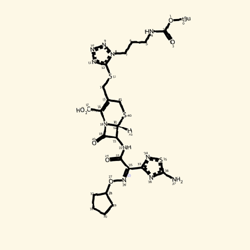 CC(C)(C)OC(=O)NCCCn1nnnc1SCC1=C(C(=O)O)N2C(=O)C(NC(=O)/C(=N\OC3CCCC3)c3nsc(N)n3)[C@H]2SC1